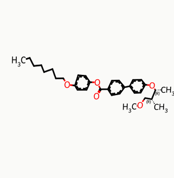 CCCCCCCCOc1ccc(OC(=O)c2ccc(-c3ccc(O[C@H](C)[C@H](C)COC)cc3)cc2)cc1